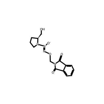 O=C1c2ccccc2C(=O)N1CON=[N+]([O-])N1CCC[C@H]1CO